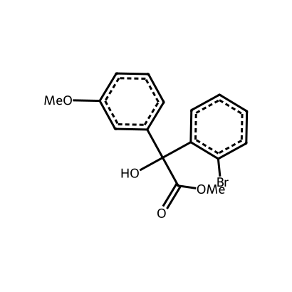 COC(=O)C(O)(c1cccc(OC)c1)c1ccccc1Br